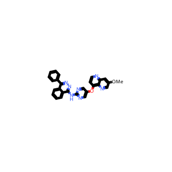 COc1cnc2c(Oc3cnc(Nc4nnc(-c5ccccc5)c5ccccc45)nc3)ccnc2c1